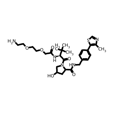 Cc1ncsc1-c1ccc(CNC(=O)C2CC(O)CN2C(=O)[C@@H](NC(=O)COCCOCCN)C(C)(C)C)cc1